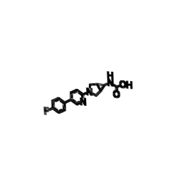 O=C(O)NC1C2CN(c3ccc(-c4ccc(F)cc4)cn3)CC21